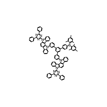 Cc1cc(C)c(B(c2ccc(-c3cc(-c4cccc(-n5c6ccccc6c6ccc7c(c8ccccc8n7-c7nc(-c8ccccc8)nc(-c8ccccc8)n7)c65)c4)cc(-c4cccc(-n5c6ccccc6c6ccc7c(c8ccccc8n7-c7nc(-c8ccccc8)nc(-c8ccccc8)n7)c65)c4)c3)cc2)c2c(C)cc(C)cc2C)c(C)c1